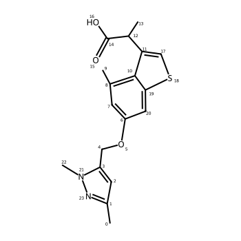 Cc1cc(COc2cc(C)c3c(C(C)C(=O)O)csc3c2)n(C)n1